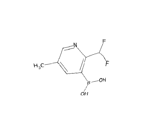 Cc1cnc(C(F)F)c(B(O)O)c1